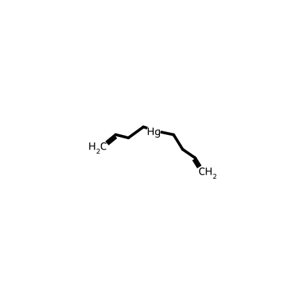 C=CC[CH2][Hg][CH2]CC=C